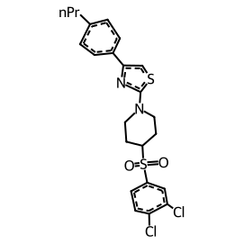 CCCc1ccc(-c2csc(N3CCC(S(=O)(=O)c4ccc(Cl)c(Cl)c4)CC3)n2)cc1